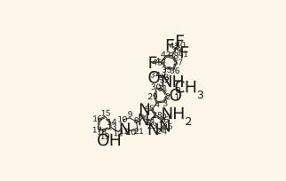 COc1cc(-c2nn(C3CCN(Cc4ccccc4O)CC3)c3ncnc(N)c23)ccc1NC(=O)c1ccc(C(F)(F)F)cc1F